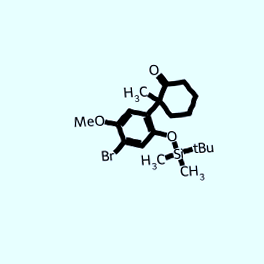 COc1cc(C2(C)CCCCC2=O)c(O[Si](C)(C)C(C)(C)C)cc1Br